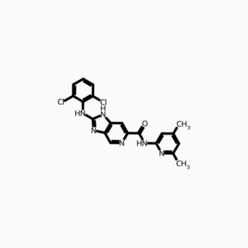 Cc1cc(C)nc(NC(=O)c2cc3[nH]c(Nc4c(Cl)cccc4Cl)nc3cn2)c1